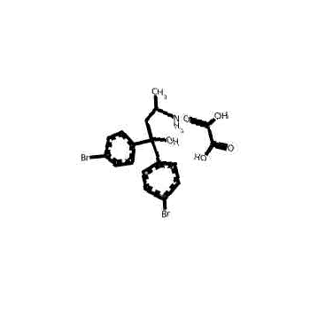 CC(N)CC(O)(c1ccc(Br)cc1)c1ccc(Br)cc1.O=C(O)C(=O)O